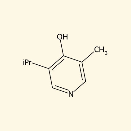 Cc1cncc(C(C)C)c1O